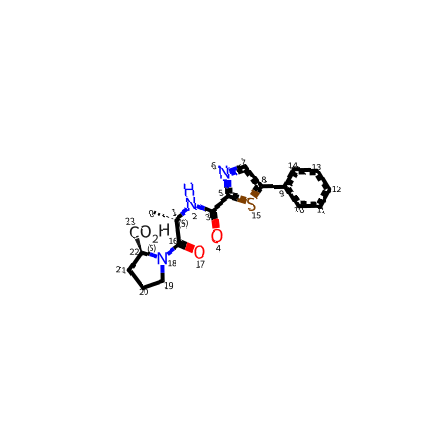 C[C@H](NC(=O)c1ncc(-c2ccccc2)s1)C(=O)N1CCC[C@H]1C(=O)O